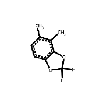 Cc1ccc2c(c1C)OC(F)(F)O2